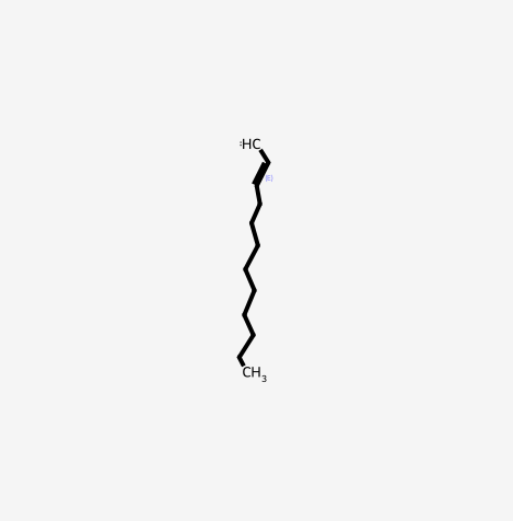 [CH]/C=C/CCCCCCCCC